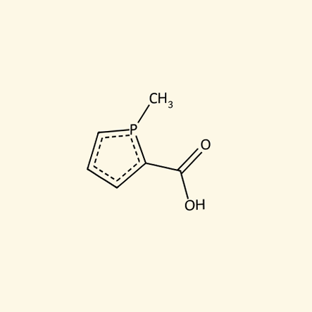 Cp1cccc1C(=O)O